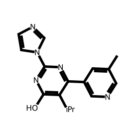 Cc1cncc(-c2nc(-n3ccnc3)nc(O)c2C(C)C)c1